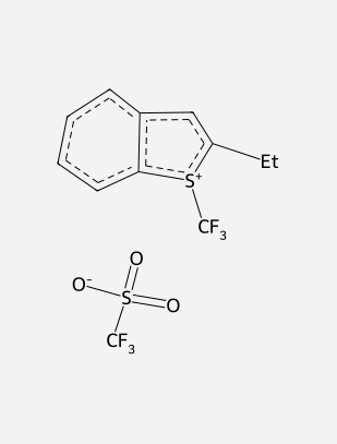 CCc1cc2ccccc2[s+]1C(F)(F)F.O=S(=O)([O-])C(F)(F)F